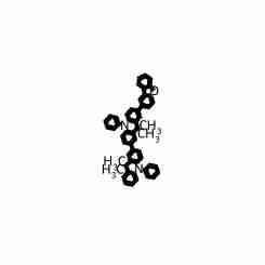 CC1(C)c2ccccc2N(c2ccccc2)c2ccc(-c3ccc4c(c3)C(C)(C)c3cc(-c5ccc6oc7ccccc7c6c5)ccc3N4c3ccccc3)cc21